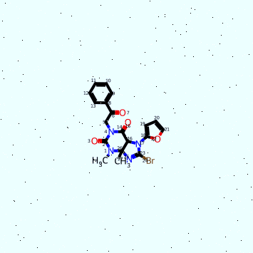 CN1C(=O)N(CC(=O)c2ccccc2)C(=O)C2N(c3ccco3)C(Br)=NC21C